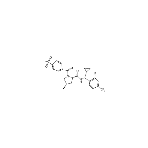 C[C@@H]1C[C@H](C(=O)N[C@@H](c2ccc(C(F)(F)F)cc2F)C2CC2)N(C(=O)c2ccc(S(C)(=O)=O)nc2)C1